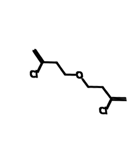 C=C(Cl)CCOCCC(=C)Cl